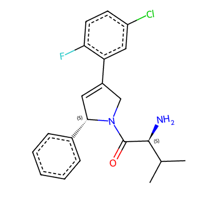 CC(C)[C@H](N)C(=O)N1CC(c2cc(Cl)ccc2F)=C[C@H]1c1ccccc1